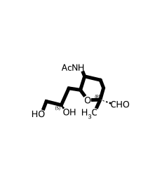 CC(=O)NC1CC[C@](C)(C=O)OC1C[C@H](O)CO